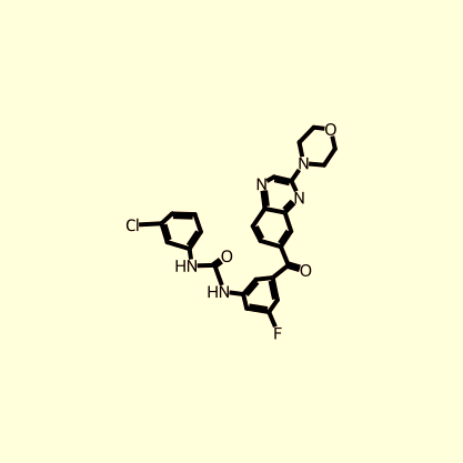 O=C(Nc1cccc(Cl)c1)Nc1cc(F)cc(C(=O)c2ccc3ncc(N4CCOCC4)nc3c2)c1